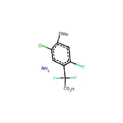 COc1cc(F)c(C(F)(F)C(=O)O)cc1Cl.N